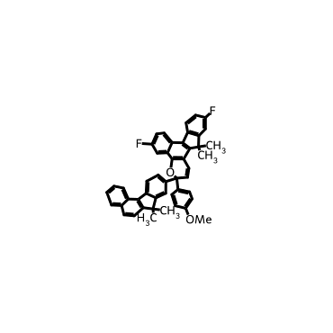 COc1ccc(C2(c3ccc4c(c3)C(C)(C)c3ccc5ccccc5c3-4)C=Cc3c4c(c5ccc(F)cc5c3O2)-c2ccc(F)cc2C4(C)C)cc1